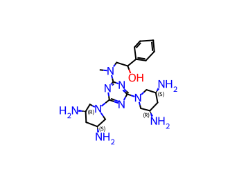 CN(CC(O)c1ccccc1)c1nc(N2C[C@H](N)C[C@H](N)C2)nc(N2C[C@H](N)C[C@H](N)C2)n1